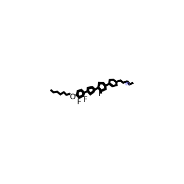 C/C=C/CCC1CC=C(c2ccc(-c3ccc(-c4ccc(OCCCCCCC)c(F)c4F)cc3)c(F)c2)CC1